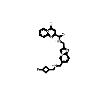 O=C(NCc1cn2cc(CNCC3CC(F)C3)ccc2n1)c1cc(=O)n2ccccc2n1